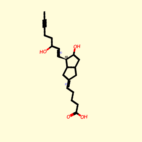 CC#CCCC(O)/C=C/[C@H]1C(O)CC2C/C(=C\CCCC(=O)O)CC21